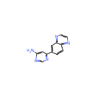 Nc1cc(-c2ccc3nccnc3c2)ncn1